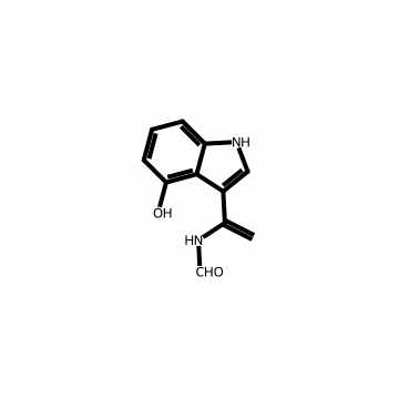 C=C(NC=O)c1c[nH]c2cccc(O)c12